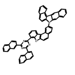 c1ccc2cc(-c3nc(-c4cccc5ccccc45)nc(-c4cccc5c4oc4ccc6ccc(-n7c8cc9ccccc9cc8c8c9ccccc9ccc87)cc6c45)n3)ccc2c1